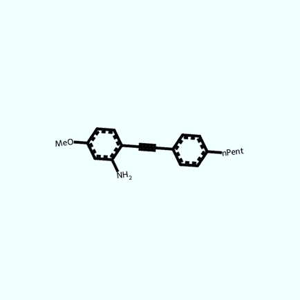 CCCCCc1ccc(C#Cc2ccc(OC)cc2N)cc1